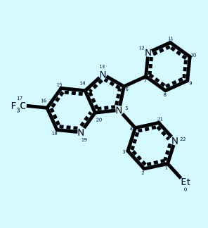 CCc1ccc(-n2c(-c3ccccn3)nc3cc(C(F)(F)F)cnc32)cn1